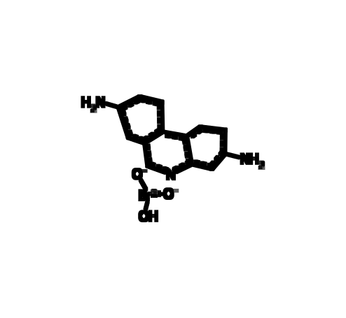 Nc1ccc2c(cnc3cc(N)ccc32)c1.[O-][Br+2]([O-])O